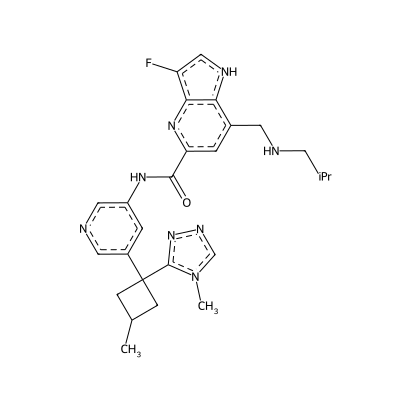 CC(C)CNCc1cc(C(=O)Nc2cncc(C3(c4nncn4C)CC(C)C3)c2)nc2c(F)c[nH]c12